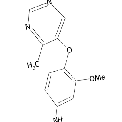 COc1cc([NH])ccc1Oc1cncnc1C